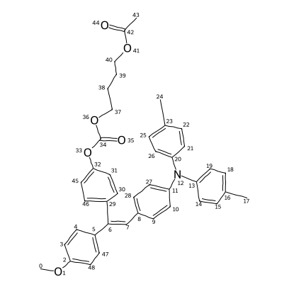 COc1ccc(C(=Cc2ccc(N(c3ccc(C)cc3)c3ccc(C)cc3)cc2)c2ccc(OC(=O)OCCCCOC(C)=O)cc2)cc1